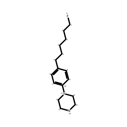 FCCCCCCc1ccc(N2CC[N]CC2)cc1